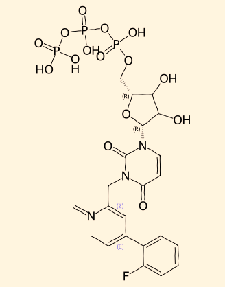 C=N/C(=C\C(=C/C)c1ccccc1F)Cn1c(=O)ccn([C@@H]2O[C@H](COP(=O)(O)OP(=O)(O)OP(=O)(O)O)C(O)C2O)c1=O